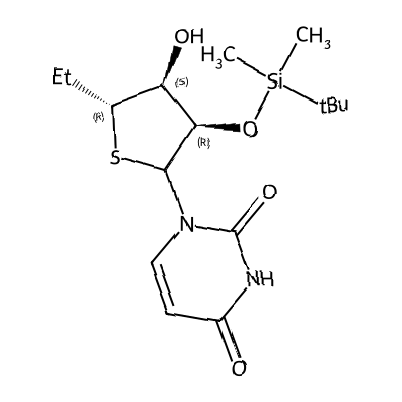 CC[C@H]1SC(n2ccc(=O)[nH]c2=O)[C@H](O[Si](C)(C)C(C)(C)C)[C@@H]1O